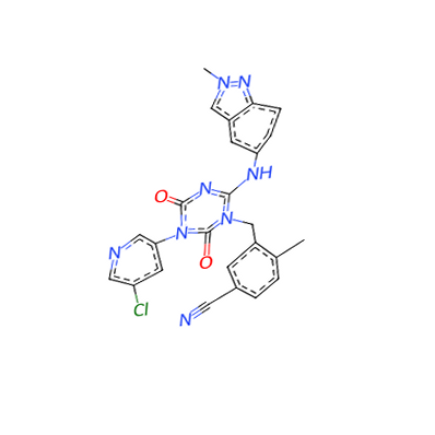 Cc1ccc(C#N)cc1Cn1c(Nc2ccc3nn(C)cc3c2)nc(=O)n(-c2cncc(Cl)c2)c1=O